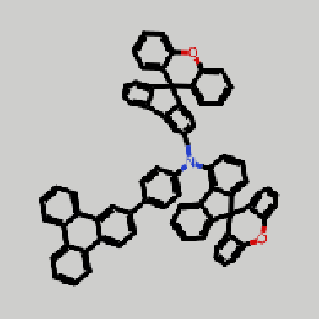 c1ccc2c(c1)Oc1ccccc1C21c2ccccc2-c2cc(N(c3ccc(-c4ccc5c6ccccc6c6ccccc6c5c4)cc3)c3cccc4c3-c3ccccc3C43c4ccccc4Oc4ccccc43)ccc21